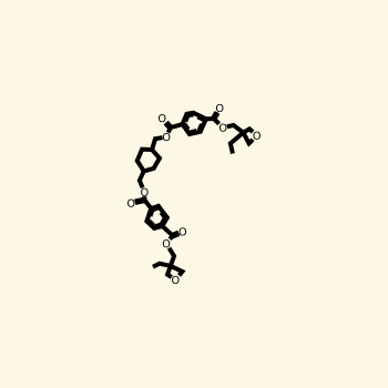 CCC1(COC(=O)c2ccc(C(=O)OCC3CCC(COC(=O)c4ccc(C(=O)OCC5(CC)COC5)cc4)CC3)cc2)COC1